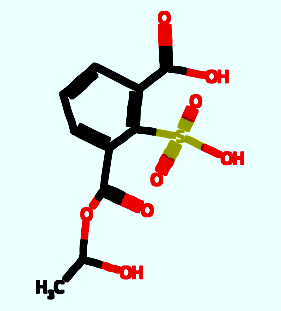 CC(O)OC(=O)c1cccc(C(=O)O)c1S(=O)(=O)O